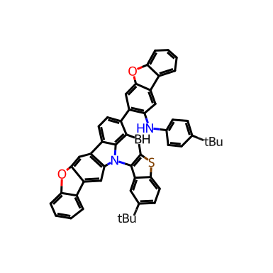 CC(C)(C)c1ccc(Nc2cc3c(cc2-c2ccc4c5cc6oc7ccccc7c6cc5n5c4c2Bc2sc4ccc(C(C)(C)C)cc4c2-5)oc2ccccc23)cc1